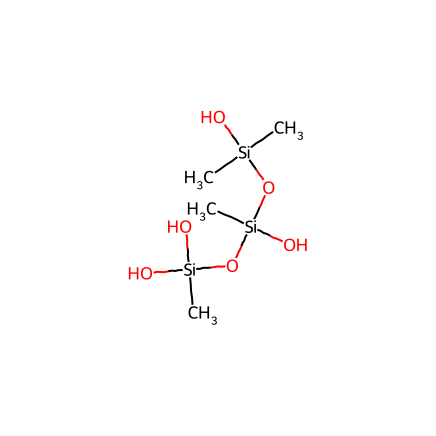 C[Si](C)(O)O[Si](C)(O)O[Si](C)(O)O